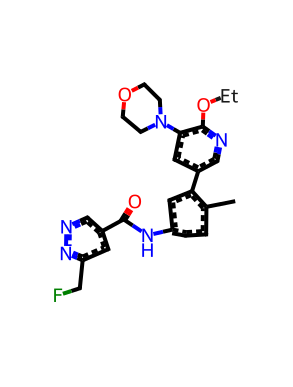 CCOc1ncc(-c2cc(NC(=O)c3cnnc(CF)c3)ccc2C)cc1N1CCOCC1